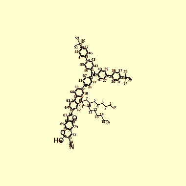 CCCCCCCCC1(CCCCCCCC)c2cc(-c3ccc(N(c4ccc(-c5ccc(C(C)(C)C)cc5)cc4)c4ccc(-c5ccc(C(C)(C)C)cc5)cc4)cc3)ccc2-c2ccc(-c3cc4ccc(/C=C(/C#N)C(=O)O)cc4o3)cc21